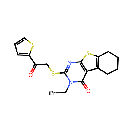 CC(C)Cn1c(SCC(=O)c2cccs2)nc2sc3c(c2c1=O)CCCC3